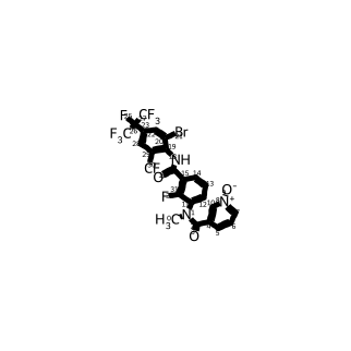 CN(C(=O)c1ccc[n+]([O-])c1)c1cccc(C(=O)Nc2c(Br)cc(C(F)(C(F)(F)F)C(F)(F)F)cc2C(F)(F)F)c1F